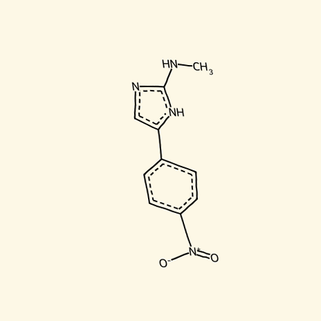 CNc1ncc(-c2ccc([N+](=O)[O-])cc2)[nH]1